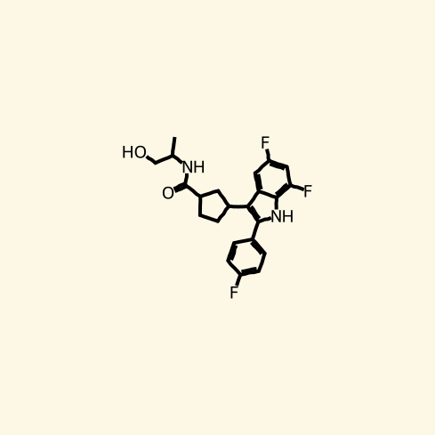 CC(CO)NC(=O)C1CCC(c2c(-c3ccc(F)cc3)[nH]c3c(F)cc(F)cc23)C1